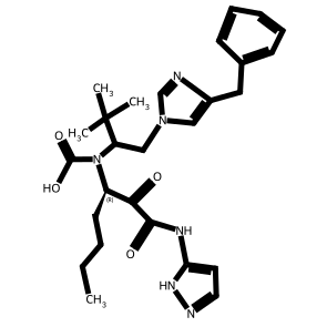 CCCC[C@H](C(=O)C(=O)Nc1ccn[nH]1)N(C(=O)O)C(Cn1cnc(Cc2ccccc2)c1)C(C)(C)C